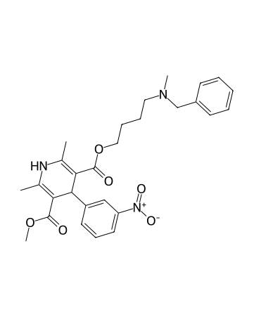 COC(=O)C1=C(C)NC(C)=C(C(=O)OCCCCN(C)Cc2ccccc2)C1c1cccc([N+](=O)[O-])c1